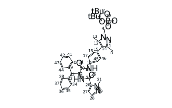 Cc1nn(COP(=O)(OC(C)(C)C)OC(C)(C)C)c(C)c1-c1ccc(NC(=O)[C@@H](NC(=O)c2ccnn2C)C(c2ccccc2)c2ccccc2)cc1